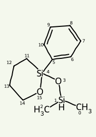 C[SiH](C)O[Si]1(c2ccccc2)CCCCO1